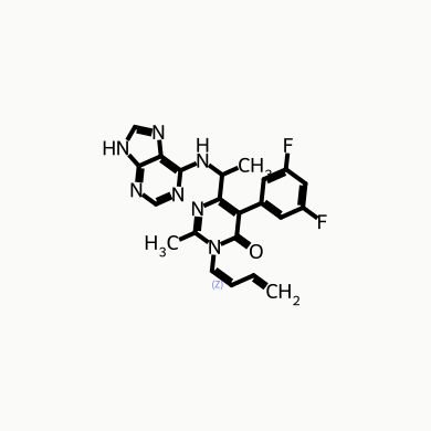 C=C/C=C\n1c(C)nc(C(C)Nc2ncnc3[nH]cnc23)c(-c2cc(F)cc(F)c2)c1=O